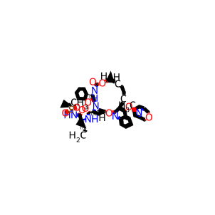 C=C[C@@H]1C[C@]1(NC(=O)[C@@H]1C[C@@H]2CN1C(=O)[C@H](C1CCCCC1)NC(=O)O[C@@H]1C[C@H]1CCCCCc1c(nc3ccccc3c1OC1CC3COCC(C1)N3CC)O2)C(=O)NS(=O)(=O)C1(C)CC1